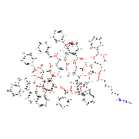 [N-]=[N+]=NCCCCCOC1OC2COC(c3ccccc3)OC2C(OC2OC([C@@H](COC(=O)c3ccccc3)OC(=O)c3ccccc3)C(OC3OC(COC(=O)c4ccccc4)C(OCc4ccccc4)C(OC4OC(COCc5ccccc5)C(OCc5ccccc5)C(OCc5ccc6ccccc6c5)C4OC(=O)c4ccccc4)C3OCc3ccccc3)C2OC(=O)c2ccccc2)C1OCc1ccccc1